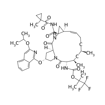 CC(C)Oc1cc2ccccc2c(O[C@@H]2C[C@H]3C(=O)N[C@]4(C(=O)NS(=O)(=O)C5(C)CC5)C[C@H]4/C=C\CC[C@@H](C)C[C@@H](C)[C@H](NC(=O)OC(C)(C)C(F)(F)F)C(=O)N3C2)n1